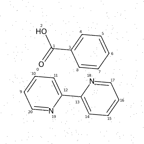 O=C(O)c1ccccc1.c1ccc(-c2ccccn2)nc1